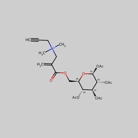 C#CC[N+](C)(C)CC(=C)C(=O)OC[C@H]1O[C@@H](OC(C)=O)[C@H](OC(C)=O)[C@@H](OC(C)=O)[C@@H]1OC(C)=O